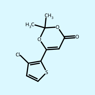 CC1(C)OC(=O)C=C(c2sccc2Cl)O1